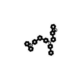 c1ccc(-c2ccc(N(c3ccc(-c4cccc(-c5ccc(-n6c7ccccc7c7ccccc76)cc5)c4)cc3)c3cccc(-c4ccc5c(c4)oc4ccccc45)c3)cc2)cc1